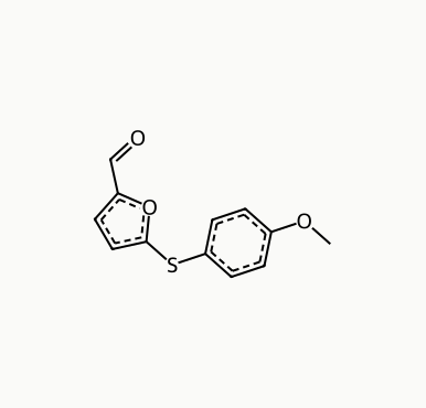 COc1ccc(Sc2ccc(C=O)o2)cc1